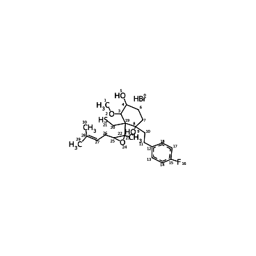 Br.COC1C(O)CCC(O)(CCc2ccc(F)cc2)C1(CS)C1(C)OC1CC=C(C)C